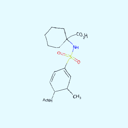 CC(=O)NC1C=CC(S(=O)(=O)NC2(C(=O)O)CCCCC2)=CC1C